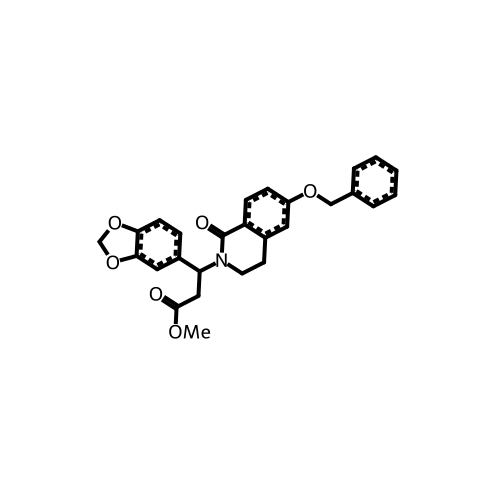 COC(=O)CC(c1ccc2c(c1)OCO2)N1CCc2cc(OCc3ccccc3)ccc2C1=O